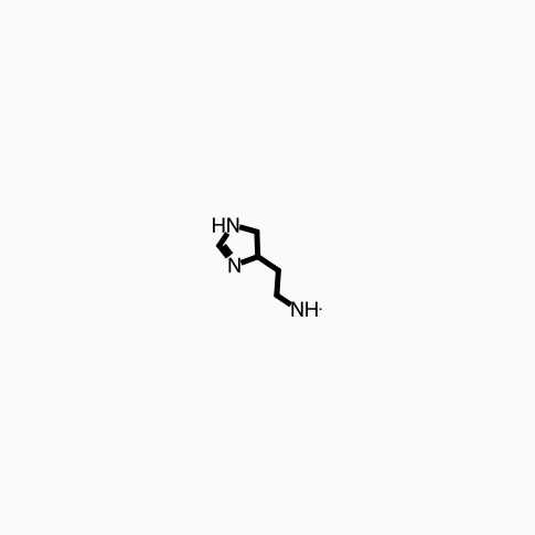 [NH]CCC1CNC=N1